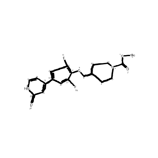 CC(C)(C)OC(=O)N1CCC(COc2c(F)cc(-c3cc[nH]c(=O)c3)cc2F)CC1